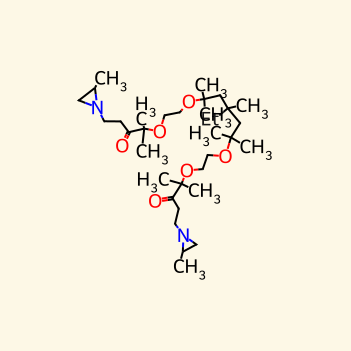 CCC(C)(CC(C)(C)OCCOC(C)(C)C(=O)CCN1CC1C)CC(C)(C)OCCOC(C)(C)C(=O)CCN1CC1C